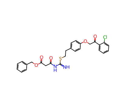 N=C(NC(=O)CC(=O)OCc1ccccc1)SCCc1ccc(OCC(=O)c2ccccc2Cl)cc1